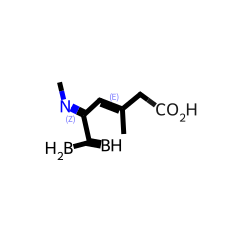 B=C(B)C(/C=C(\C)CC(=O)O)=N/C